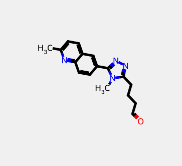 Cc1ccc2cc(-c3nnc(CCCC=O)n3C)ccc2n1